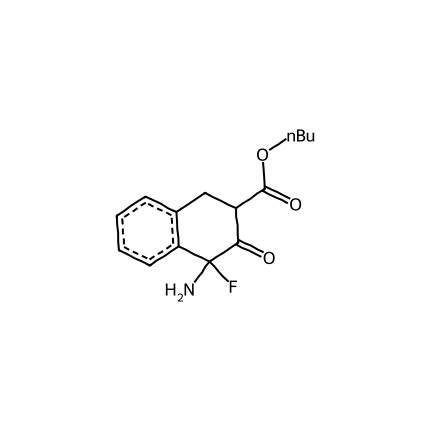 CCCCOC(=O)C1Cc2ccccc2C(N)(F)C1=O